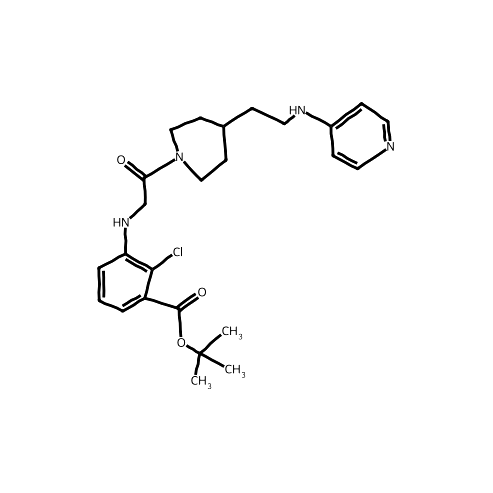 CC(C)(C)OC(=O)c1cccc(NCC(=O)N2CCC(CCNc3ccncc3)CC2)c1Cl